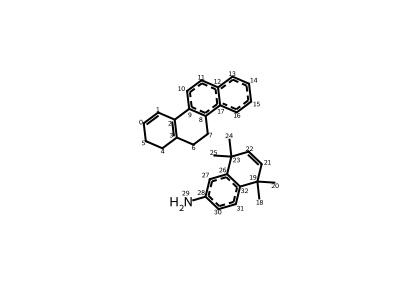 C1=CC2=C(CC1)CCc1c2ccc2ccccc12.CC1(C)C=CC(C)(C)c2cc(N)ccc21